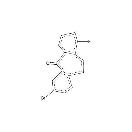 O=c1c2cc(Br)ccc2ccc2c(F)cccc12